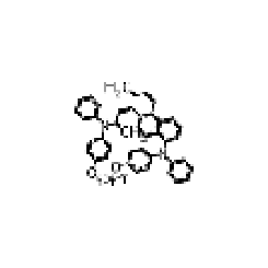 C=C/C=C\c1c(/C=C\C(=C)N(c2ccccc2)c2ccc(OC(C)C)cc2)ccc2c(N(c3ccccc3)c3ccc(OC(C)C)cc3)cccc12